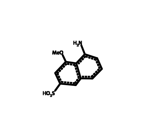 COc1cc(S(=O)(=O)O)cc2cccc(N)c12